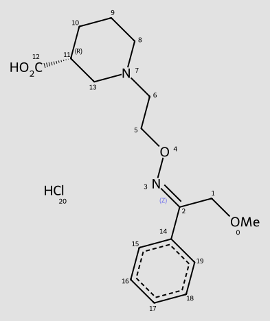 COC/C(=N\OCCN1CCC[C@@H](C(=O)O)C1)c1ccccc1.Cl